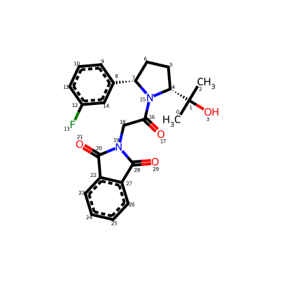 CC(C)(O)[C@H]1CC[C@@H](c2cccc(F)c2)N1C(=O)CN1C(=O)c2ccccc2C1=O